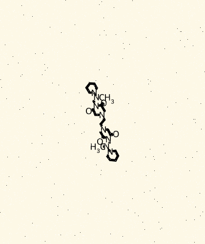 CN(CN1C(=O)CN(CCN2CC(=O)N(CN(C)N3CCCCC3)C(=O)C2)CC1=O)N1CCCCC1